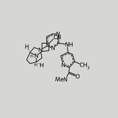 CNC(=O)c1ncc(Nc2nccc(N3C[C@H]4CC[C@@H](C3)N4C3CC(C#N)C3)n2)cc1C